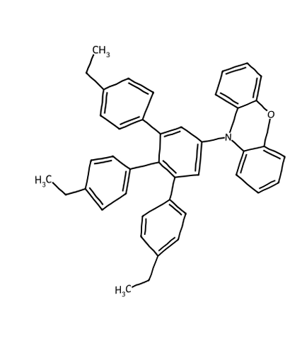 CCc1ccc(-c2cc(N3c4ccccc4Oc4ccccc43)cc(-c3ccc(CC)cc3)c2-c2ccc(CC)cc2)cc1